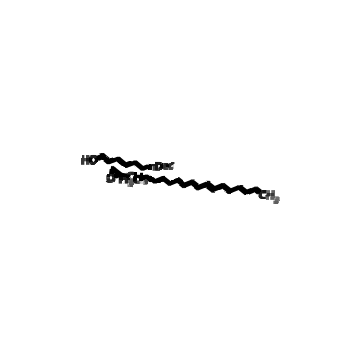 CC1CO1.CCCCCCCCCCCCCCCCC.CCCCCCCCCCCCCCCCO